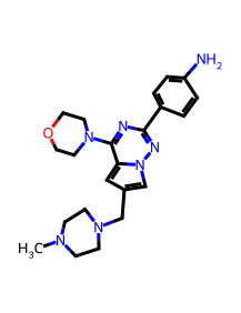 CN1CCN(Cc2cc3c(N4CCOCC4)nc(-c4ccc(N)cc4)nn3c2)CC1